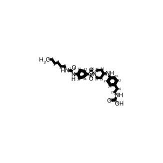 CCCCCCNC(=O)Nc1ccc(S(=O)(=O)N2CCC(Nc3ccc(CCNC(=O)O)cc3)CC2)cc1